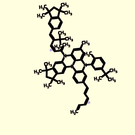 C=C/C=C\C=Cc1ccc2c(c1)N(c1cc(C(C)(C)C)ccc1C)c1cc(C)cc3c1B2c1cc2c(cc1N3C(=C)/C=C\C(=Cc1ccc3c(c1)C(C)(C)CC3(C)C)C(C)(C)C)C(C)(C)CC2(C)C